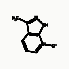 [O-][n+]1cccc2c(C(F)(F)F)n[nH]c21